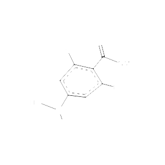 CNC(=O)c1c(F)cc(B(O)O)cc1F